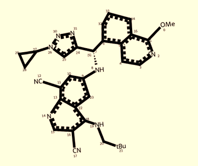 COc1nccc2c([C@H](Nc3cc(C#N)c4ncc(C#N)c(NCC(C)(C)C)c4c3)c3cn(C4CC4)nn3)cccc12